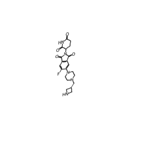 O=C1CCC(N2C(=O)c3cc(F)c(N4CCN(CC5CNC5)CC4)cc3C2=O)C(=O)N1